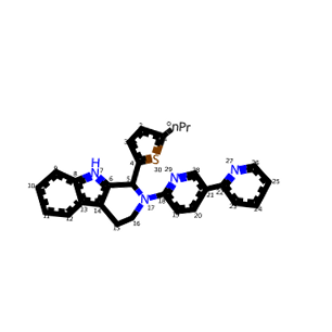 CCCc1ccc(C2c3[nH]c4ccccc4c3CCN2c2ccc(-c3ccccn3)cn2)s1